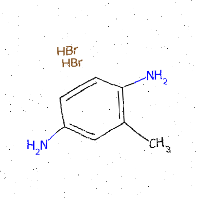 Br.Br.Cc1cc(N)ccc1N